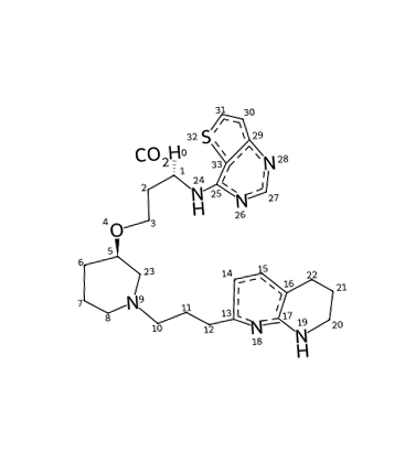 O=C(O)[C@@H](CCO[C@@H]1CCCN(CCCc2ccc3c(n2)NCCC3)C1)Nc1ncnc2ccsc12